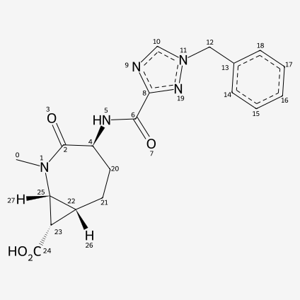 CN1C(=O)[C@@H](NC(=O)c2ncn(Cc3ccccc3)n2)CC[C@@H]2[C@H](C(=O)O)[C@@H]21